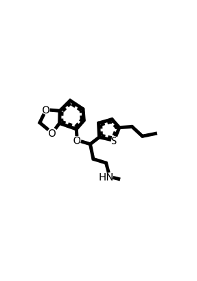 CCCc1ccc(C(CCNC)Oc2cccc3c2OCO3)s1